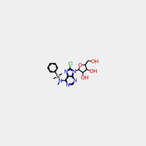 CN(c1ncnc2c1nc(Cl)n2C1OC(CO)C(O)C1O)[Si](C)(C)c1ccccc1